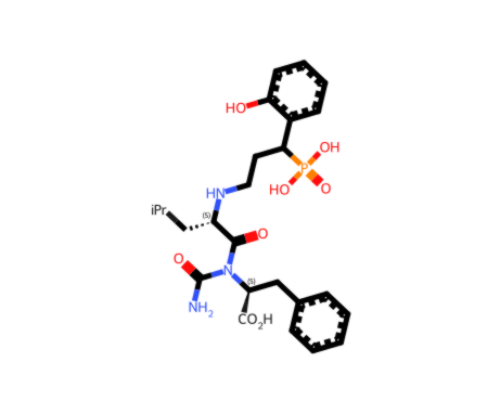 CC(C)C[C@H](NCCC(c1ccccc1O)P(=O)(O)O)C(=O)N(C(N)=O)[C@@H](Cc1ccccc1)C(=O)O